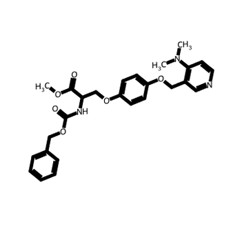 COC(=O)C(COc1ccc(OCc2cnccc2N(C)C)cc1)NC(=O)OCc1ccccc1